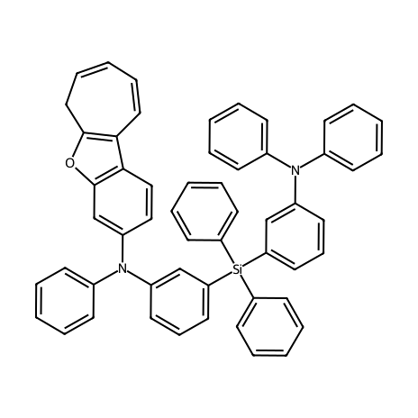 C1=CCc2oc3cc(N(c4ccccc4)c4cccc([Si](c5ccccc5)(c5ccccc5)c5cccc(N(c6ccccc6)c6ccccc6)c5)c4)ccc3c2C=C1